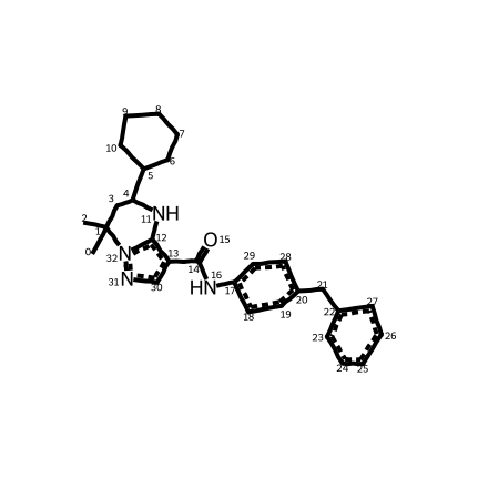 CC1(C)CC(C2CCCCC2)Nc2c(C(=O)Nc3ccc(Cc4ccccc4)cc3)cnn21